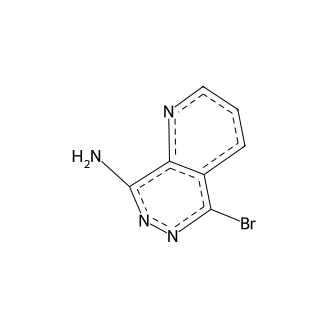 Nc1nnc(Br)c2cccnc12